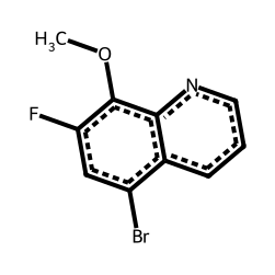 COc1c(F)cc(Br)c2cccnc12